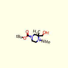 CNN1CCN(C(=O)OC(C)(C)C)CC1(C)CO